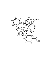 C=Cc1cccc2c1C=C(c1ccccc1)[CH]2[Zr]([Cl])([Cl])([CH]1C(c2ccccc2)=Cc2c(C=C)cccc21)[SiH](C)C